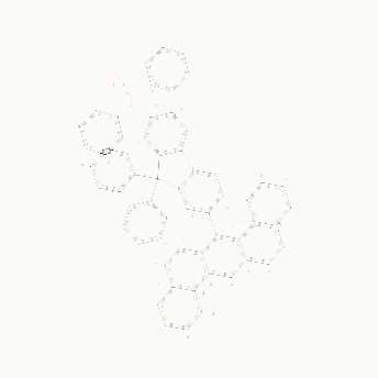 O=P(c1ccccc1)(c1ccccc1)c1ccc2c(c1)C(c1ccccc1)(c1ccccc1)c1cc(-c3c4ccc5ccccc5c4cc4ccc5ccccc5c34)ccc1-2